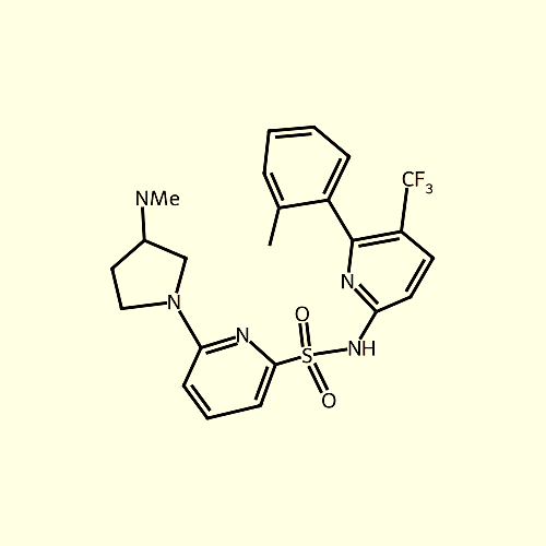 CNC1CCN(c2cccc(S(=O)(=O)Nc3ccc(C(F)(F)F)c(-c4ccccc4C)n3)n2)C1